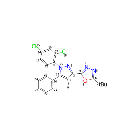 Cc1c(-c2nnc(C(C)(C)C)o2)nn(-c2ccc(Cl)cc2Cl)c1-c1ccccc1